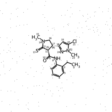 CCc1ccccc1NC(=O)[C@H]1C(=S)N(C)C[C@@H]1c1cc(Cl)n(C)n1